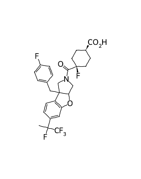 CC(F)(c1ccc2c(c1)OC1CN(C(=O)[C@]3(F)CC[C@@H](C(=O)O)CC3)CC21Cc1ccc(F)cc1)C(F)(F)F